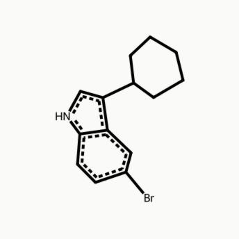 Brc1ccc2[nH]cc(C3CCCCC3)c2c1